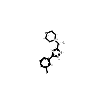 Cc1cccc(-c2nc([C@@H](C)N3CCNCC3)no2)c1